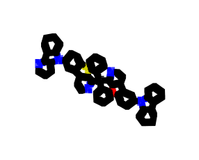 c1ccc([Si](c2ccccc2)(c2nccc3c2oc2ccc(-n4c5ccccc5c5ccccc54)cc23)c2nccc3c2sc2ccc(-n4c5ccccc5c5ncccc54)cc23)cc1